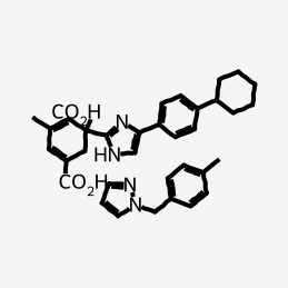 CC1=CC(C(=O)O)(c2nc(-c3ccc(C4CCCCC4)cc3)c[nH]2)CC(C(=O)O)=C1.Cc1ccc(Cn2cccn2)cc1